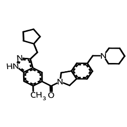 Cc1cc2[nH]nc(CC3CCCC3)c2cc1C(=O)N1Cc2ccc(CN3CCCCC3)cc2C1